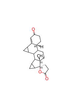 C[C@]12CCC3C(C4CC4C4=CC(=O)CC[C@@H]43)C1C1CC1[C@@]21CCC(=O)O1